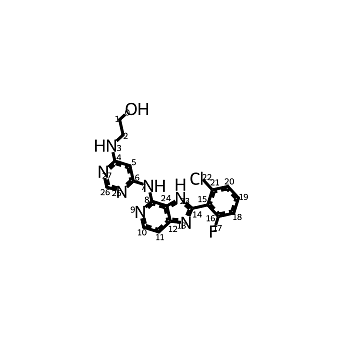 OCCNc1cc(Nc2nccc3nc(-c4c(F)cccc4Cl)[nH]c23)ncn1